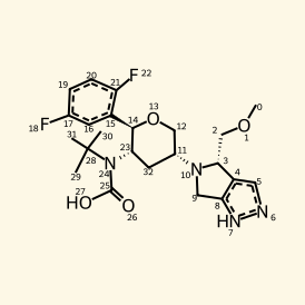 COC[C@@H]1c2cn[nH]c2CN1[C@H]1CO[C@H](c2cc(F)ccc2F)[C@@H](N(C(=O)O)C(C)(C)C)C1